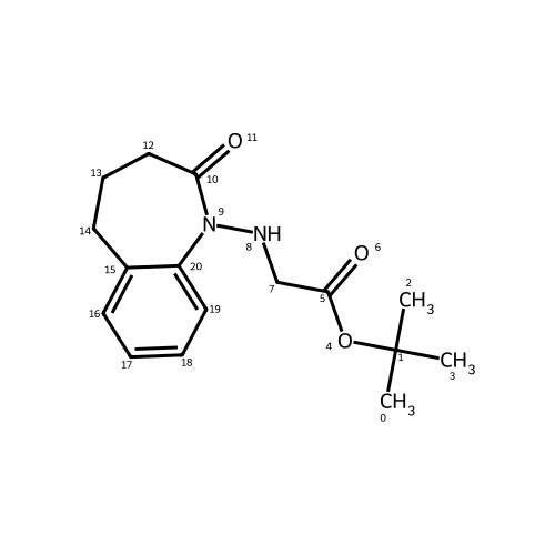 CC(C)(C)OC(=O)CNN1C(=O)CCCc2ccccc21